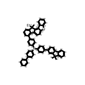 CCC1(C)c2cccc(-c3ccc(N(c4ccc(-c5ccccc5)cc4)c4ccc(-c5ccc6c(c5)C(C)(C)c5ccccc5-6)cc4)cc3)c2-c2ccc3oc4ccccc4c3c21